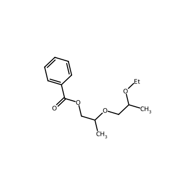 CCOC(C)COC(C)COC(=O)c1ccccc1